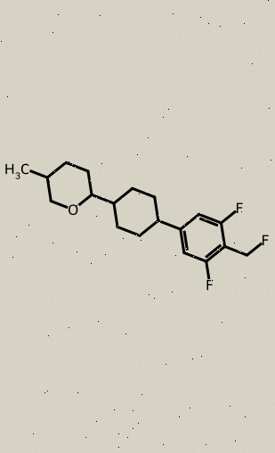 CC1CCC(C2CCC(c3cc(F)c(CF)c(F)c3)CC2)OC1